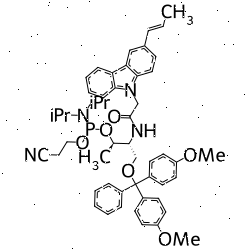 C/C=C/c1ccc2c(c1)c1ccccc1n2CC(=O)N[C@H](COC(c1ccccc1)(c1ccc(OC)cc1)c1ccc(OC)cc1)[C@@H](C)OP(OCCC#N)N(C(C)C)C(C)C